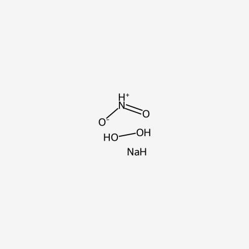 O=[NH+][O-].OO.[NaH]